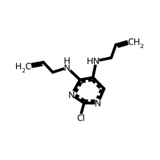 C=CCNc1cnc(Cl)nc1NCC=C